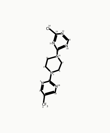 FC(F)(F)c1cnc(N2CCN(c3ncnc(Cl)n3)CC2)nc1